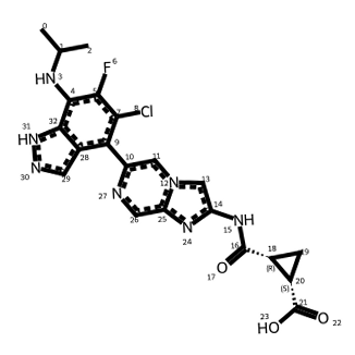 CC(C)Nc1c(F)c(Cl)c(-c2cn3cc(NC(=O)[C@@H]4C[C@@H]4C(=O)O)nc3cn2)c2cn[nH]c12